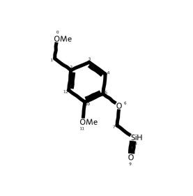 COCc1ccc(OC[SiH]=O)c(OC)c1